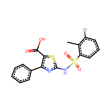 Cc1c(Cl)cccc1S(=O)(=O)Nc1nc(-c2ccccc2)c(C(=O)O)s1